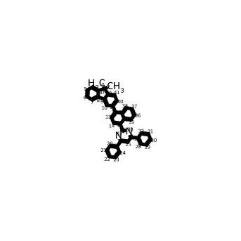 CC1(C)c2ccccc2-c2cc(-c3ccc(-c4nc(-c5ccccc5)cc(-c5ccccc5)n4)c4ccccc34)ccc21